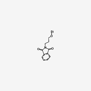 CCOCCCN1C(=O)c2ccccc2C1=O